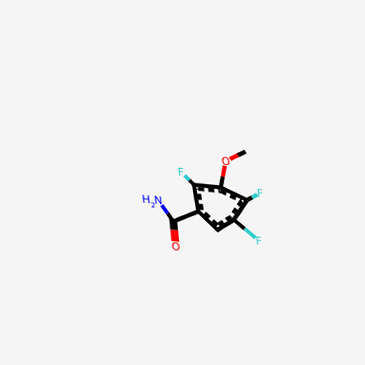 COc1c(F)c(F)cc(C(N)=O)c1F